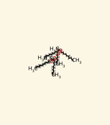 CCCCCCCCCCOC(C)C(CCCCCCCC)OCC[C](CCC)OC(CCCCCCCCC)C(C)OCCCCCCCCCC